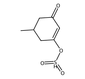 CC1CC(=O)C=C(O[SH](=O)=O)C1